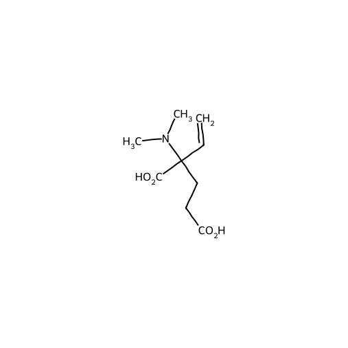 C=CC(CCC(=O)O)(C(=O)O)N(C)C